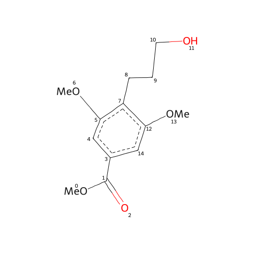 COC(=O)c1cc(OC)c(CCCO)c(OC)c1